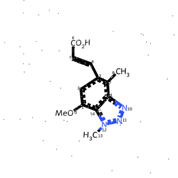 COc1cc(/C=C/C(=O)O)c(C)c2nnn(C)c12